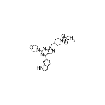 CS(=O)(=O)N1CCC(Cn2ncc3c(-c4ccc5cc[nH]c5c4)nc(N4CCOCC4)nc32)CC1